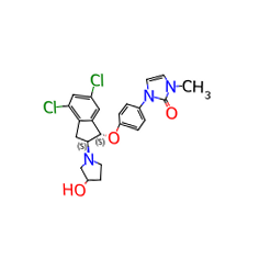 Cn1ccn(-c2ccc(O[C@H]3c4cc(Cl)cc(Cl)c4C[C@@H]3N3CCC(O)C3)cc2)c1=O